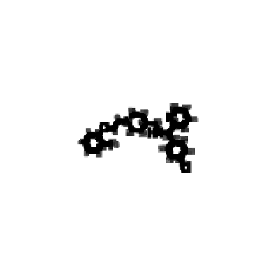 Fc1ccccc1OCCN1CCC(CNC(c2ccc(Cl)cc2)c2ccccn2)CC1